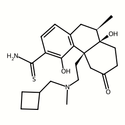 C[C@@H]1Cc2ccc(C(N)=S)c(O)c2[C@@]2(CCN(C)CC3CCC3)CC(=O)CC[C@@]12O